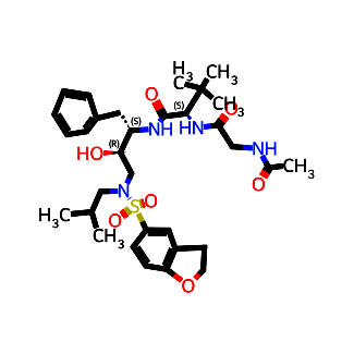 CC(=O)NCC(=O)N[C@H](C(=O)N[C@@H](Cc1ccccc1)[C@H](O)CN(CC(C)C)S(=O)(=O)c1ccc2c(c1)CCO2)C(C)(C)C